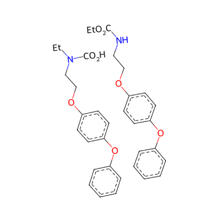 CCN(CCOc1ccc(Oc2ccccc2)cc1)C(=O)O.CCOC(=O)NCCOc1ccc(Oc2ccccc2)cc1